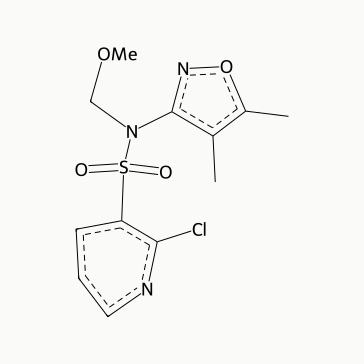 COCN(c1noc(C)c1C)S(=O)(=O)c1cccnc1Cl